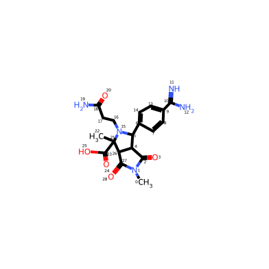 CN1C(=O)C2C(c3ccc(C(=N)N)cc3)N(CCC(N)=O)C(C)(C(=O)O)C2C1=O